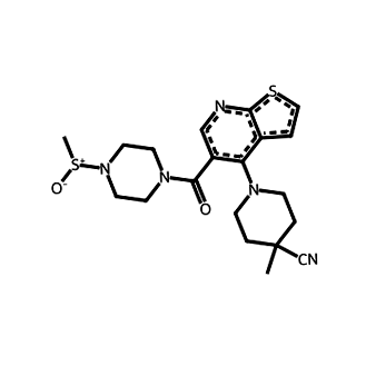 C[S+]([O-])N1CCN(C(=O)c2cnc3sccc3c2N2CCC(C)(C#N)CC2)CC1